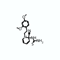 COc1ccc(CCN2C=CC=CC2(C#N)NC(N)=S)c(OC)c1